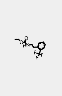 CCOC(=O)NCCc1ccccc1C(F)(F)F